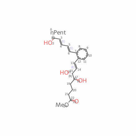 CCCCC[C@@H](O)/C=C/C=C/c1ccccc1/C=C/[C@@H](O)[C@@H](O)CCCC(=O)OC